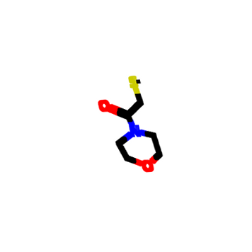 O=C(C[S])N1CCOCC1